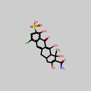 CC1(O)C(C(N)=O)=C(O)CC2CC3=Cc4c(Cl)cc(S(=O)(=O)O)c(O)c4C(=O)C3=C(O)C21